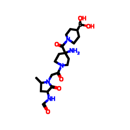 CC1CC(NC=O)C(=O)N1CC(=O)N1CCC(N)(C(=O)N2CCC(B(O)O)CC2)CC1